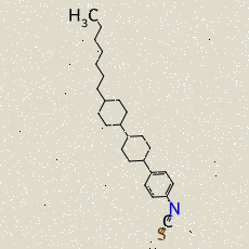 CCCCCCCC1CCC(C2CCC(c3ccc(N=C=S)cc3)CC2)CC1